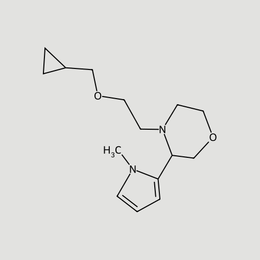 Cn1cccc1C1COCCN1CCOCC1CC1